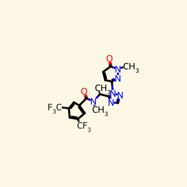 C[C@@H](c1ncnn1-c1ccc(=O)n(C)n1)N(C)C(=O)c1cc(C(F)(F)F)cc(C(F)(F)F)c1